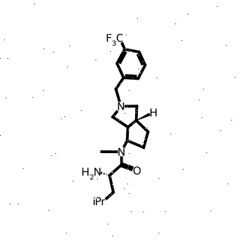 CC(C)C[C@H](N)C(=O)N(C)C1CC[C@H]2CN(Cc3cccc(C(F)(F)F)c3)CC12